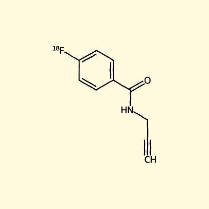 C#CCNC(=O)c1ccc([18F])cc1